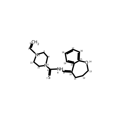 C=CN1CCN(C(=S)N/C=C2/CCCOc3ccccc32)CC1